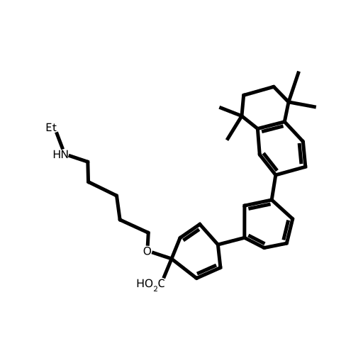 CCNCCCCCOC1(C(=O)O)C=CC(c2cccc(-c3ccc4c(c3)C(C)(C)CCC4(C)C)c2)C=C1